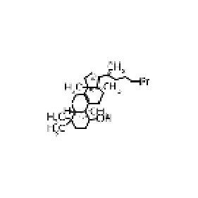 CC(C)CCC[C@@H](C)[C@H]1CC[C@@]2(C)C3=C(CC[C@]12C)[C@@]1(C)C(O)CCC(C)(C)[C@@H]1CC3